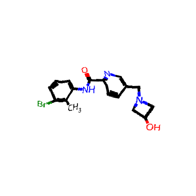 Cc1c(Br)cccc1NC(=O)c1ccc(CN2CC(O)C2)cn1